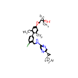 Cc1cc(OCCC(C)(C)O)cc(C)c1-c1ccc(F)c(CNc2cnc([C@H]3C[C@@H]3C(=O)O)cn2)c1